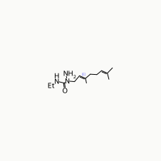 CCNC(=O)N(N)C/C=C(\C)CCC=C(C)C